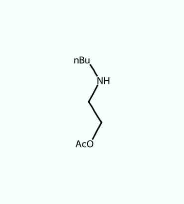 CCCCNCCOC(C)=O